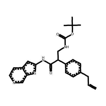 C=CCc1ccc(C(CNC(=O)OC(C)(C)C)C(=O)Nc2cc3ccncc3s2)cc1